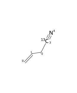 C=C[CH][13C]#N